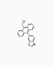 ClCc1c2ccccc2c(-c2ccc3ncsc3c2)c2ccccc12